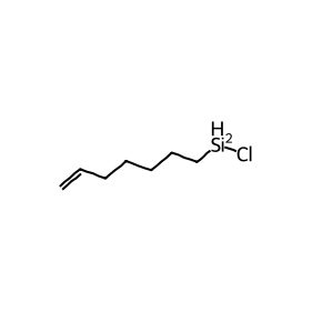 C=CCCCCC[SiH2]Cl